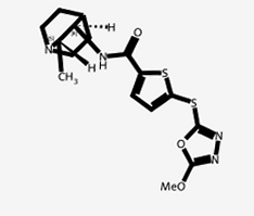 COc1nnc(Sc2ccc(C(=O)N[C@@H]3C4CCN(CC4)[C@H]3C)s2)o1